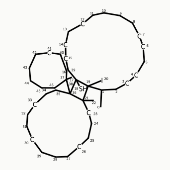 CC1CCCCCCCCCCCCCCCC2(S)C1(I)C1(C)CCCCCCCCCCCCCC12C1(C)CCCCCCCC1